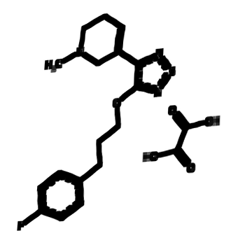 CN1CCC=C(c2nsnc2OCCCc2ccc(F)cc2)C1.O=C(O)C(=O)O